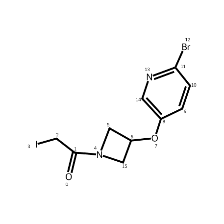 O=C(CI)N1CC(Oc2ccc(Br)nc2)C1